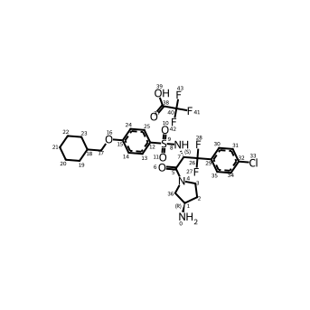 N[C@@H]1CCN(C(=O)[C@H](NS(=O)(=O)c2ccc(OCC3CCCCC3)cc2)C(F)(F)c2ccc(Cl)cc2)C1.O=C(O)C(F)(F)F